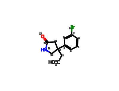 O=C(O)CC1(c2cccc(Br)c2)CNC(=O)C1